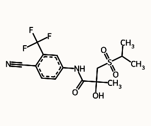 CC(C)S(=O)(=O)CC(C)(O)C(=O)Nc1ccc(C#N)c(C(F)(F)F)c1